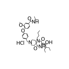 CCCCN1C(=O)[C@@H]([C@H](O)C(CC)CC)NC(=O)C12CCN(Cc1ccc(Oc3ccc(C(=O)NC(C)C)cc3OC)cc1)CC2.Cl